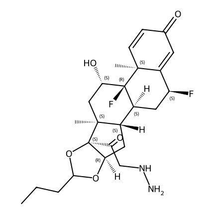 CCCC1O[C@@H]2C[C@H]3[C@@H]4C[C@H](F)C5=CC(=O)C=C[C@]5(C)[C@@]4(F)[C@@H](O)C[C@]3(C)[C@]2(C(=O)CNN)O1